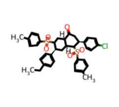 CCc1ccc([C@@H]2C[C@@H]3C(S(=O)(=O)c4ccc(C)cc4)[C@H](c4ccc(Cl)cc4)CC(=O)[C@@H]3CC2S(=O)(=O)c2ccc(C)cc2)cc1